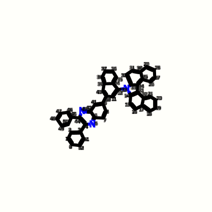 c1ccc(-c2nc3ccc(-c4cc(-n5c6ccc7ccccc7c6c6c7ccccc7ccc65)c5ccccc5c4)cc3nc2-c2ccccc2)cc1